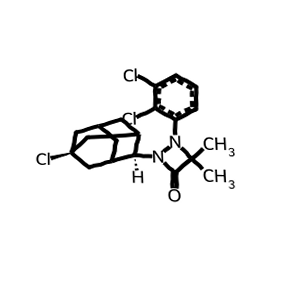 CC1(C)C(=O)N([C@H]2C3CC4CC2C[C@@](Cl)(C4)C3)N1c1cccc(Cl)c1Cl